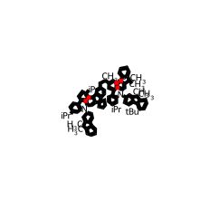 CC(C)c1ccc(-c2ccc(C(C)C)cc2N(c2ccc3c(c2)C(C)(C)c2ccccc2-3)c2ccc3c(c2)C2(CCCC2)c2ccc(CC(C)c4cc(-c5ccc(C(C)C)cc5N(c5ccc6c(c5)C(C)(C)c5ccccc5-6)c5ccc6c(c5)C(C)(C)c5cccc(C(C)(C)C)c5-6)cc(C(C)C)c4)cc2-3)cc1